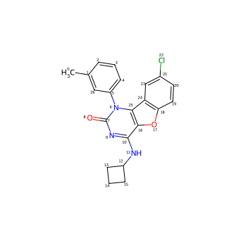 Cc1cccc(-n2c(=O)nc(NC3CCC3)c3oc4ccc(Cl)cc4c32)c1